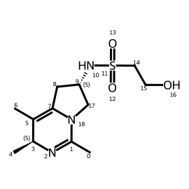 CC1=N[C@@H](C)C(C)=C2C[C@H](NS(=O)(=O)CCO)CN12